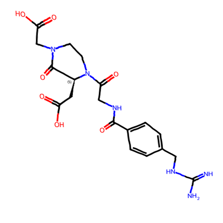 N=C(N)NCc1ccc(C(=O)NCC(=O)N2CCN(CC(=O)O)C(=O)[C@@H]2CC(=O)O)cc1